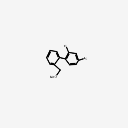 COCc1ccccc1-c1ccc(C(C)=O)cc1Cl